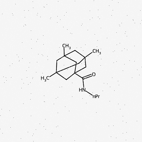 CCCNC(=O)C12CC3(C)CC(C)(CC(C)(C3)C1)C2